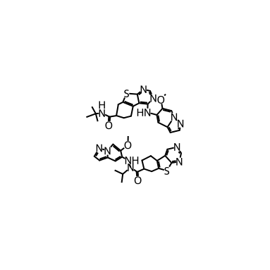 COc1cn2nccc2cc1NN(C(=O)C1CCc2c(sc3ncncc23)C1)C(C)C.COc1cn2nccc2cc1Nc1ncnc2sc3c(c12)CCC(C(=O)NC(C)(C)C)C3